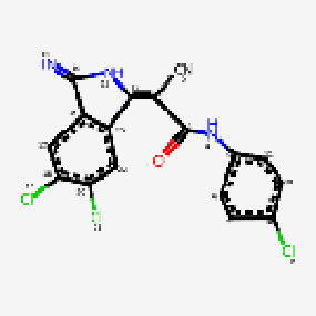 N#CC(C(=O)Nc1ccc(Cl)cc1)=C1NC(=N)c2cc(Cl)c(Cl)cc21